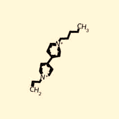 C=CC[n+]1ccc(-c2cc[n+](CCCCC)cc2)cc1